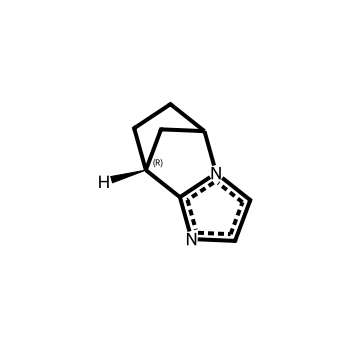 c1cn2c(n1)[C@@H]1CCC2C1